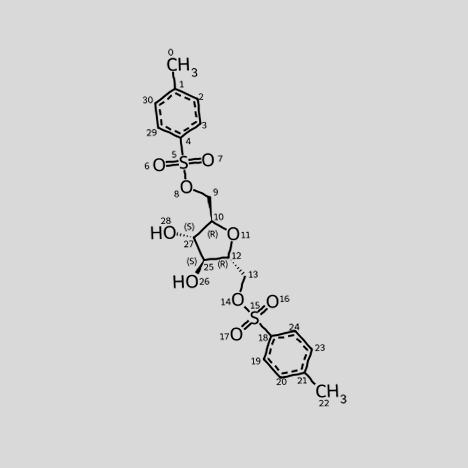 Cc1ccc(S(=O)(=O)OC[C@H]2O[C@H](COS(=O)(=O)c3ccc(C)cc3)[C@@H](O)[C@@H]2O)cc1